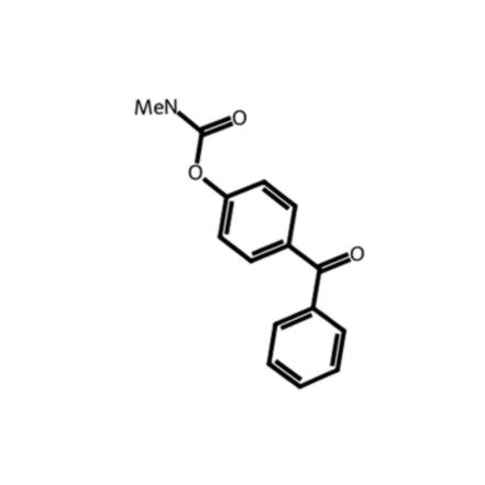 CNC(=O)Oc1ccc(C(=O)c2ccccc2)cc1